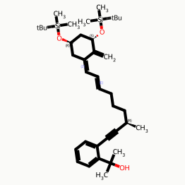 C=C1/C(=C\C=C\CCC[C@@H](C)C#Cc2ccccc2C(C)(C)O)C[C@@H](O[Si](C)(C)C(C)(C)C)C[C@@H]1O[Si](C)(C)C(C)(C)C